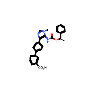 C[C@@H](OC(=O)Nc1c(-c2ccc(-c3cccc(C(=O)O)c3)cc2)ncn1C)c1ccccc1